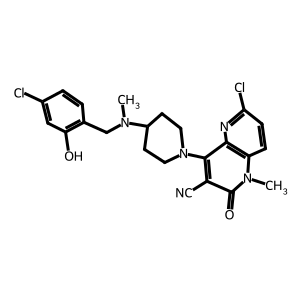 CN(Cc1ccc(Cl)cc1O)C1CCN(c2c(C#N)c(=O)n(C)c3ccc(Cl)nc23)CC1